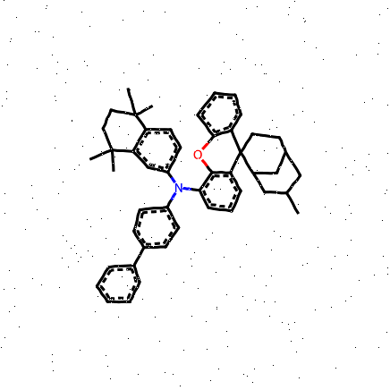 CC1CC2CCC3(c4ccccc4Oc4c(N(c5ccc(-c6ccccc6)cc5)c5ccc6c(c5)C(C)(C)CCC6(C)C)cccc43)C(C1)C2